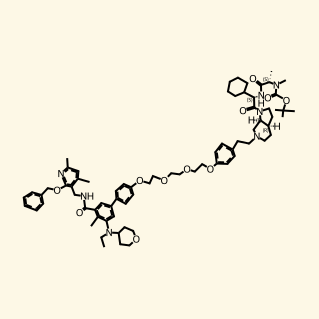 CCN(c1cc(-c2ccc(OCCOCCOCCOc3ccc(CCN4CC[C@@H]5CCN(C(=O)[C@@H](NC(=O)[C@H](C)N(C)C(=O)OC(C)(C)C)C6CCCCC6)[C@@H]5C4)cc3)cc2)cc(C(=O)NCc2c(C)cc(C)nc2OCc2ccccc2)c1C)C1CCOCC1